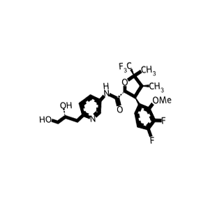 COc1c([C@H]2[C@H](C(=O)Nc3ccc(C[C@@H](O)CO)nc3)O[C@@](C)(C(F)(F)F)[C@H]2C)ccc(F)c1F